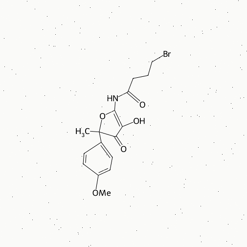 COc1ccc(C2(C)OC(NC(=O)CCCBr)=C(O)C2=O)cc1